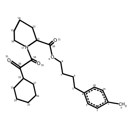 Cc1ccc(CCCCOC(=O)C2CCCCN2C(=O)C(=O)C2CCCCC2)cc1